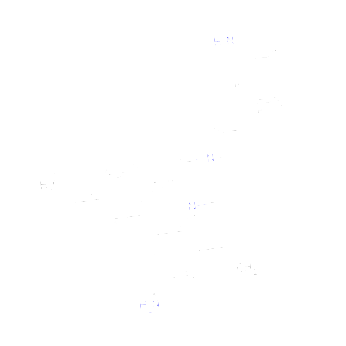 C=Cc1cc(N)ccc1N1CCN(CCc2cccc(N)c2)C[C@H]1c1ccc(CC)cc1